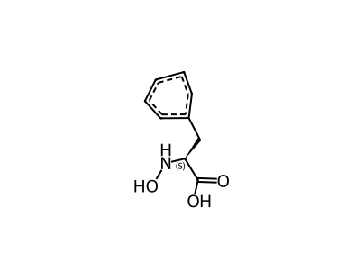 O=C(O)[C@H](Cc1ccccc1)NO